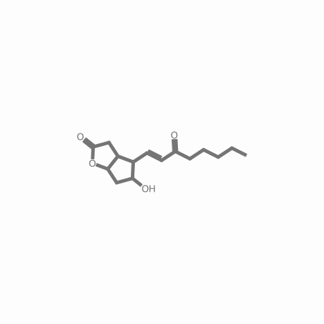 CCCCCC(=O)C=CC1C(O)CC2OC(=O)CC21